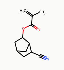 C=C(C)C(=O)OC1CC2CC(C#N)C1C2